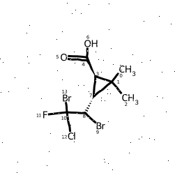 CC1(C)[C@H](C(=O)O)[C@H]1C(Br)C(F)(Cl)Br